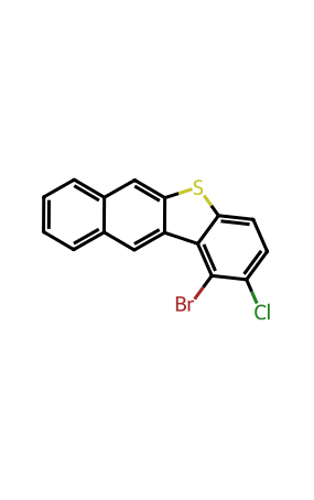 Clc1ccc2sc3cc4ccccc4cc3c2c1Br